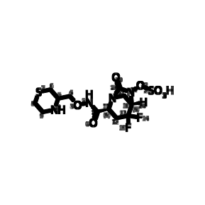 O=C(NOCC1CSCCN1)[C@@H]1CC(F)(F)[C@@H]2CN1C(=O)N2OS(=O)(=O)O